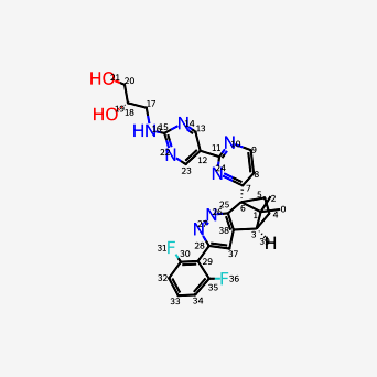 CC1(C)[C@H]2CC[C@]1(c1ccnc(-c3cnc(NC[C@H](O)CO)nc3)n1)c1nnc(-c3c(F)cccc3F)cc12